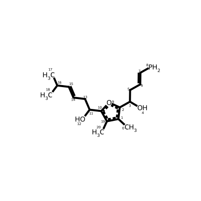 Cc1c(C(O)C/C=C/P)oc(C(O)C/C=C/C(C)C)c1C